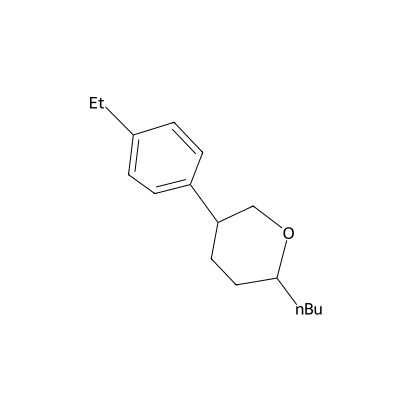 CCCCC1CCC(c2ccc(CC)cc2)CO1